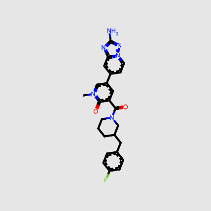 Cn1cc(-c2ccn3nc(N)nc3c2)cc(C(=O)N2CCCC(Cc3ccc(F)cc3)C2)c1=O